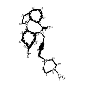 CN1CCN(CC#CCN2C(=O)c3cccc4c3N(CC4)c3ccc(Br)cc32)CC1